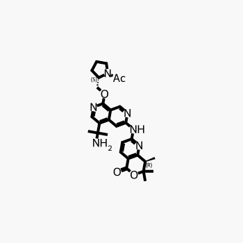 CC(=O)N1CCC[C@H]1COc1ncc(C(C)(C)N)c2cc(Nc3ccc4c(n3)[C@@H](C)C(C)(C)OC4=O)ncc12